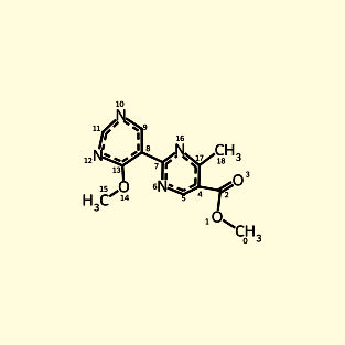 COC(=O)c1cnc(-c2cncnc2OC)nc1C